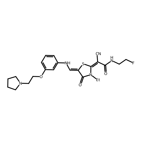 CCn1c(=C(C#N)C(=O)NCCF)sc(=CNc2cccc(OCCN3CCCC3)c2)c1=O